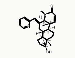 CN1C(=O)C=C[C@]2(C)[C@H]3CC[C@]4(C)[C@@H](O)CC[C@H]4[C@@H]3CC(=Cc3ccccn3)[C@@H]12